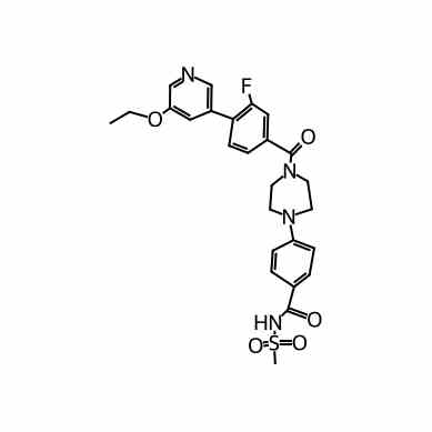 CCOc1cncc(-c2ccc(C(=O)N3CCN(c4ccc(C(=O)NS(C)(=O)=O)cc4)CC3)cc2F)c1